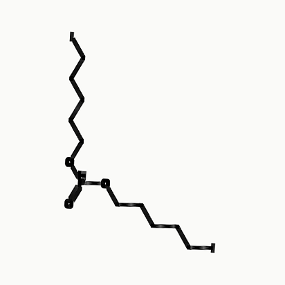 O=[PH](OCCCCCI)OCCCCCI